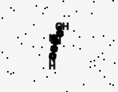 CC(C)(O)c1cccc(-c2cnn3cc(-c4ccc(C5CCNCC5)cc4)cnc23)c1